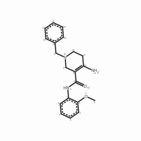 COc1ccccc1NC(=O)C1=C(N)CCN(Cc2ccccc2)C1